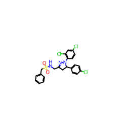 O=S(=O)(Cc1ccccc1)NCC1=NN(c2ccc(Cl)cc2Cl)C(c2ccc(Cl)cc2)C1